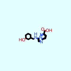 O=C(O)c1ccc2ncc(NCC3CCCC(O)C3)n2n1